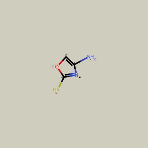 Nc1coc(S)n1